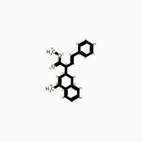 COC(=O)C(C=Cc1ccccc1)C1C=C(C)c2ccccc2C1